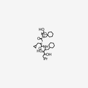 CC(C)C[C@H](O)[C@H](O)[C@H](CC1CCCCC1)NC(=O)[C@@H](CC(=O)N(CCO)CC1(O)CCCCC1)CC1CC1